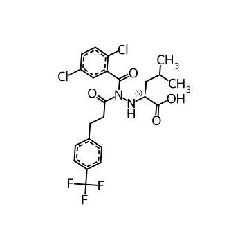 CC(C)C[C@H](NN(C(=O)CCc1ccc(C(F)(F)F)cc1)C(=O)c1cc(Cl)ccc1Cl)C(=O)O